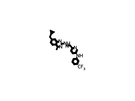 Cc1nc(N/N=C/c2ccc(Nc3cccc(C(F)(F)F)c3)cn2)nc2cc(CC3CC3)ccc12